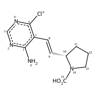 Nc1ncnc(Cl)c1C=C[C@@H]1CCCN1C(=O)O